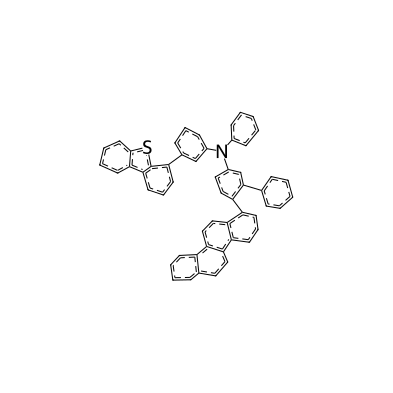 c1ccc(-c2cc(N(c3ccccc3)c3cccc(-c4cccc5c4sc4ccccc45)c3)ccc2-c2cccc3c2ccc2c4ccccc4ccc32)cc1